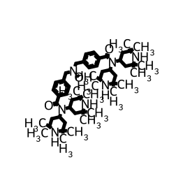 CC1(C)CC(N(C(=O)c2ccc(CN(O)Cc3ccc(C(=O)N(C4CC(C)(C)NC(C)(C)C4)C4CC(C)(C)NC(C)(C)C4)cc3)cc2)C2CC(C)(C)NC(C)(C)C2)CC(C)(C)N1